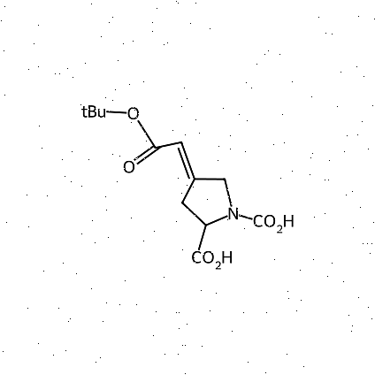 CC(C)(C)OC(=O)/C=C1\CC(C(=O)O)N(C(=O)O)C1